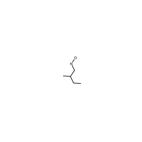 CCC(C)C[N][O]